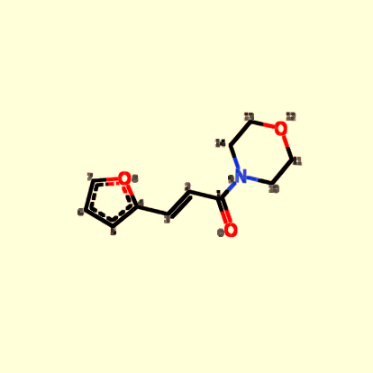 O=C(/C=C/c1ccco1)N1CCOCC1